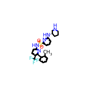 Cc1ccccc1-c1nc(NS(=O)(=O)c2cccc(N[C@H]3CCCNC3)n2)ccc1C(F)(F)F